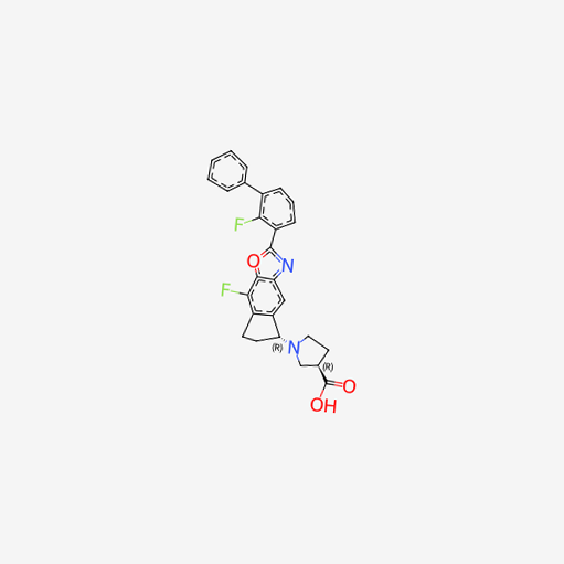 O=C(O)[C@@H]1CCN([C@@H]2CCc3c2cc2nc(-c4cccc(-c5ccccc5)c4F)oc2c3F)C1